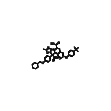 Cc1noc(C(C(N)=O)(c2ccc(OCC3CCCCC3)cc2)c2nc(C(=O)O)cc3cc(Oc4ccc(C(C)(C)C)cc4)ccc23)n1